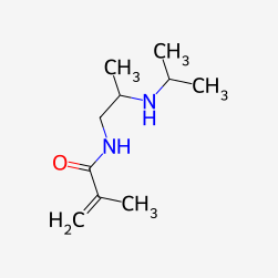 C=C(C)C(=O)NCC(C)NC(C)C